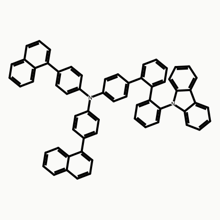 c1ccc(-c2ccccc2-n2c3ccccc3c3ccccc32)c(-c2ccc(N(c3ccc(-c4cccc5ccccc45)cc3)c3ccc(-c4cccc5ccccc45)cc3)cc2)c1